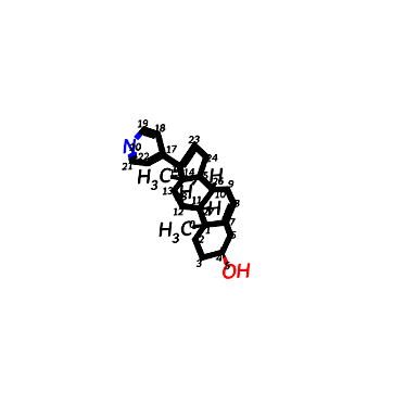 C[C@]12CC[C@H](O)CC1=CC[C@@H]1[C@@H]2CC[C@]2(C)C(c3ccncc3)=CC[C@@H]12